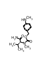 CNc1ccc(COC(=O)N(C)[C@H](C(N)=O)C(C)C)cc1